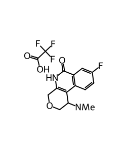 CNC1COCc2[nH]c(=O)c3cc(F)ccc3c21.O=C(O)C(F)(F)F